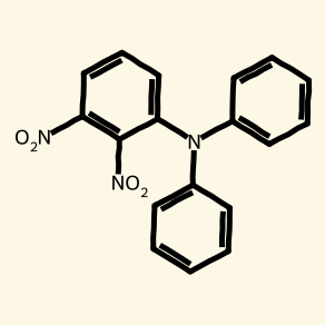 O=[N+]([O-])c1cccc(N(c2ccccc2)c2ccccc2)c1[N+](=O)[O-]